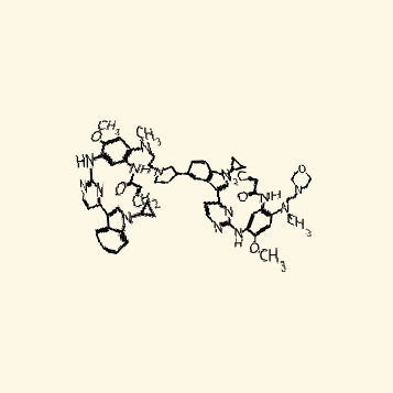 C=CC(=O)Nc1cc(Nc2nccc(-c3cn(C4CC4)c4ccc(C5CCN(CCN(C)c6cc(OC)c(Nc7nccc(-c8cn(C9CC9)c9ccccc89)n7)cc6NC(=O)C=C)C5)cc34)n2)c(OC)cc1N(C)CCN1CCOCC1